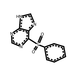 O=S(=O)(c1ccccc1)c1ncnc2[nH]cnc12